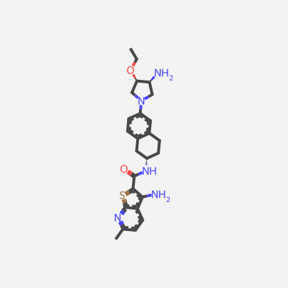 CCO[C@@H]1CN(c2ccc3c(c2)CC[C@H](NC(=O)c2sc4nc(C)ccc4c2N)C3)C[C@@H]1N